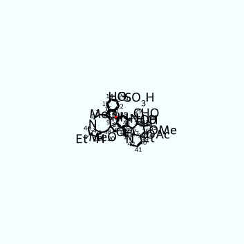 CC[C@H]1C[C@@H]2CN(CCc3c([nH]c4ccccc34)[C@@](C(=O)OC)(c3cc4c(cc3OC)N(C=O)[C@H]3[C@@](O)(C(=O)OC)[C@H](OC(C)=O)[C@]5(CC)C=CCN6CC[C@]43[C@@H]65)C2)C1.O=S(=O)(O)O